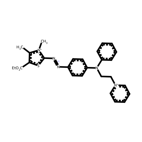 CCOC(=O)c1sc(/N=N/c2ccc(N(CC[n+]3ccccc3)c3ccccc3)cc2)[n+](C)c1C